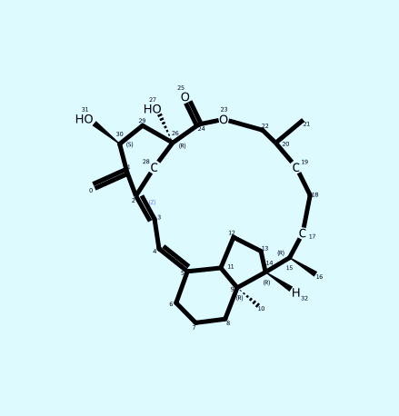 C=C1/C2=C\C=C3CCC[C@@]4(C)C3CC[C@@H]4[C@H](C)CCCC(C)COC(=O)[C@@](O)(C2)C[C@@H]1O